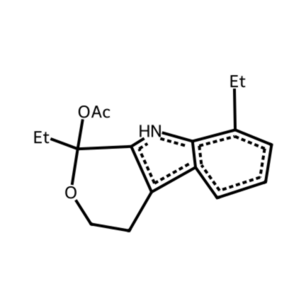 CCc1cccc2c3c([nH]c12)C(CC)(OC(C)=O)OCC3